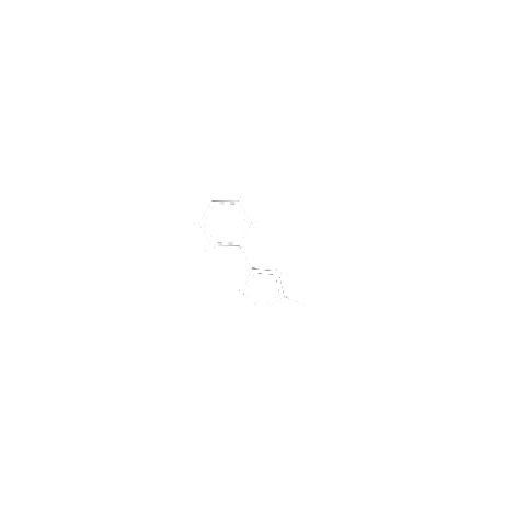 CCCc1nc(-c2ccccn2)no1